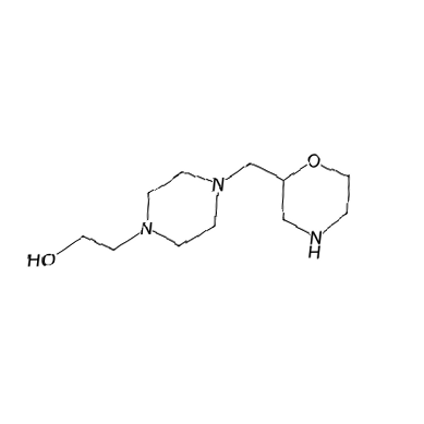 OCCN1CCN(CC2CNCCO2)CC1